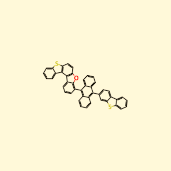 c1ccc2c(c1)sc1cc(-c3c4ccccc4c(-c4cccc5c4oc4ccc6sc7ccccc7c6c45)c4ccccc34)ccc12